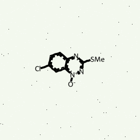 CSc1nc2ccc(Cl)cc2[n+]([O-])n1